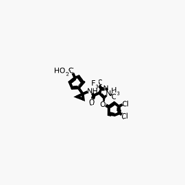 CN1N=C(C(F)(F)F)C(C(=O)NC2(c3ccc(C(=O)O)cc3)CC2)C1Oc1ccc(Cl)c(Cl)c1